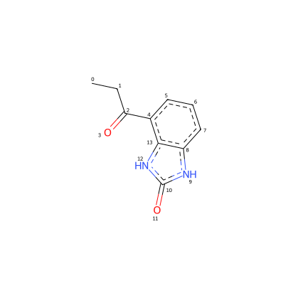 CCC(=O)c1cccc2[nH]c(=O)[nH]c12